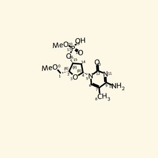 COC[C@H]1O[C@@H](n2cc(C)c(N)nc2=O)C[C@H]1OP(=O)(O)OC